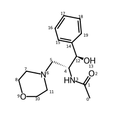 CC(=O)N[C@H](CN1CCOCC1)[C@H](O)c1ccccc1